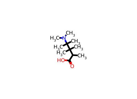 CC(C(=O)O)C(C)(C)C(C)(C)N(C)C